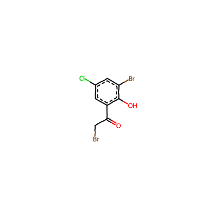 O=C(CBr)c1cc(Cl)cc(Br)c1O